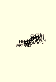 COc1c(O)cc2oc(-c3ccc(O[C@@H]4O[C@H](C(=O)O)[C@@H](O)[C@H](O)[C@H]4O)c(O)c3)c(OC)c(=O)c2c1O